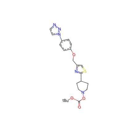 CC(C)(C)OC(=O)ON1CCC(c2nc(COc3ccc(-n4ccnn4)cc3)cs2)CC1